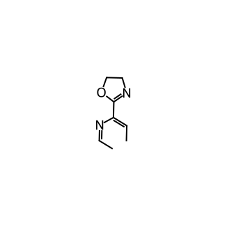 C/C=N\C(=C/C)C1=NCCO1